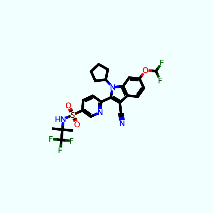 CC(C)(NS(=O)(=O)c1ccc(-c2c(C#N)c3ccc(OC(F)F)cc3n2C2CCCC2)nc1)C(F)(F)F